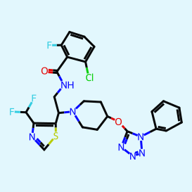 O=C(NCC(c1scnc1C(F)F)N1CCC(Oc2nnnn2-c2ccccc2)CC1)c1c(F)cccc1Cl